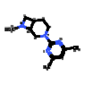 Cc1cc(C)nc(N2CCC3CN(C(=O)O)C3C2)n1